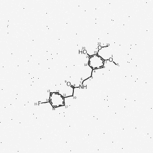 COc1cc(CCNC(=O)Cc2ccc(F)cc2)cc(O)c1OC